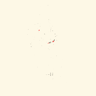 C1=CCC2C(=C1)Sc1ccc(C3=CC=CC4C3C3=C(C=CCC3)N4C3=CCCC=C3)cc1C21c2ccccc2Sc2cc(-c3ccccc3)ccc21